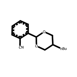 CCCCC1COC(c2ccccc2C#N)OC1